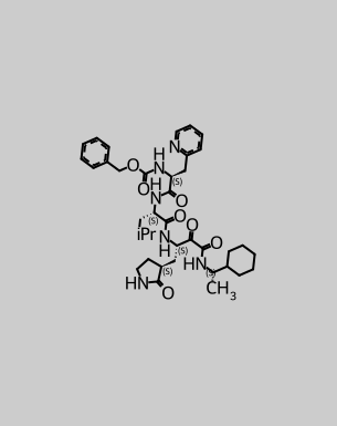 CC(C)C[C@H](NC(=O)[C@H](Cc1ccccn1)NC(=O)OCc1ccccc1)C(=O)N[C@@H](C[C@@H]1CCNC1=O)C(=O)C(=O)N[C@@H](C)C1CCCCC1